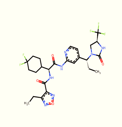 CCc1nonc1C(=O)N[C@H](C(=O)Nc1cc([C@@H](CC)N2C[C@@H](C(F)(F)F)NC2=O)ccn1)C1CCC(F)(F)CC1